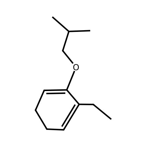 CCC1=CCCC=C1OCC(C)C